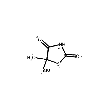 CCCCC1(C)SC(=O)NC1=O